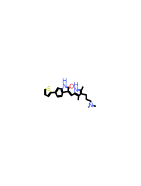 Cc1[nH]c(/C=C2\C(=O)Nc3cc(-c4cccs4)ccc32)c(C)c1CCCN(C)C